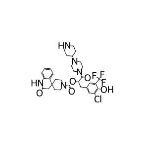 O=C1CC2(CCN(C(=O)O[C@H](Cc3cc(Cl)c(O)c(C(F)(F)F)c3)C(=O)N3CCN(C4CCNCC4)CC3)CC2)c2ccccc2N1